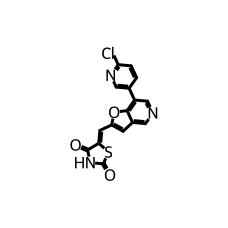 O=C1NC(=O)/C(=C/c2cc3cncc(-c4ccc(Cl)nc4)c3o2)S1